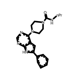 CCCNC(=O)N1CCN(c2ncnc3[nH]c(-c4ccccc4)cc23)CC1